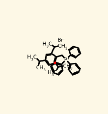 CC(C)c1cc(C(C)C)c(C[P+](c2ccccc2)(c2ccccc2)c2ccccc2)c(C(C)C)c1.[Br-]